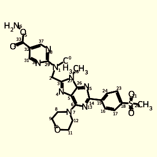 CN(Cc1nc2c(N3CCOCC3)nc(-c3ccc(S(C)(=O)=O)cc3)nc2n1C)c1ncc(C(=O)ON)cn1